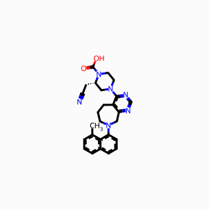 Cc1cccc2cccc(N3CCCc4c(ncnc4N4CCN(C(=O)O)[C@@H](CC#N)C4)C3)c12